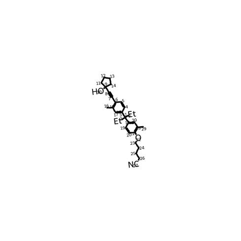 CCC(CC)(c1ccc(C#CC2(O)CCCC2)c(C)c1)c1ccc(OCCCCC#N)c(C)c1